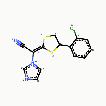 N#C/C(=C1\SCC(c2ccccc2Cl)S1)n1ccnc1